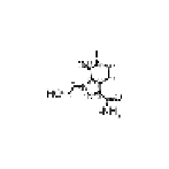 NC(=O)c1nn(CCO)c2c1CCNC2=O